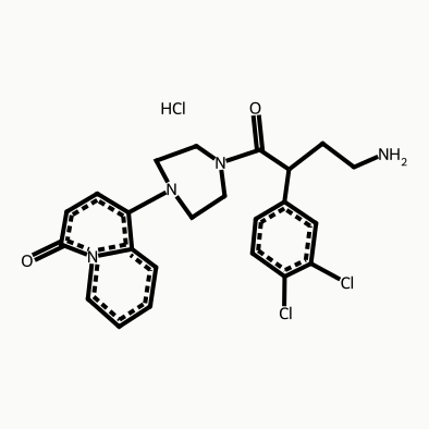 Cl.NCCC(C(=O)N1CCN(c2ccc(=O)n3ccccc23)CC1)c1ccc(Cl)c(Cl)c1